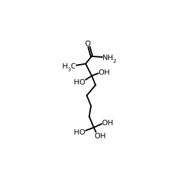 CC(C(N)=O)C(O)(O)CCCCC(O)(O)O